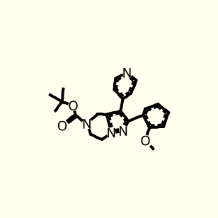 COc1ccccc1-c1nn2c(c1-c1ccncc1)CN(C(=O)OC(C)(C)C)CC2